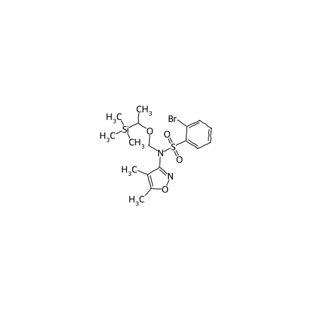 Cc1onc(N(COC(C)[Si](C)(C)C)S(=O)(=O)c2ccccc2Br)c1C